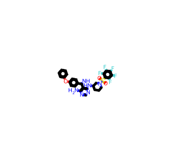 N=C(c1ccc(Oc2ccccc2)cc1)c1c(N)ncnc1NC1CCCN(S(=O)(=O)c2c(F)c(F)c(F)c(F)c2F)C1